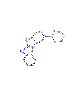 c1ccc(-c2ccc3sc4nc5ccccc5n4c3c2)nc1